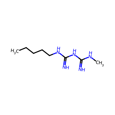 CCCCCNC(=N)NC(=N)NC